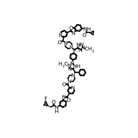 CN1N=C(C(c2ccccc2)N2CCN(C(=O)c3cc(-c4nc5cc(NC(=O)C[C@H]6C[C@H]6F)ccc5o4)ccn3)CC2)NN1c1ccc([C@H](c2nnn(C)n2)N2CCN(C(=O)c3cc(-c4nc5cc(NC(=O)C6CC6)ccc5o4)ccn3)CC2)cc1